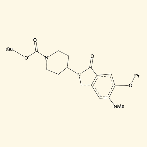 CNc1cc2c(cc1OC(C)C)C(=O)N(C1CCN(C(=O)OC(C)(C)C)CC1)C2